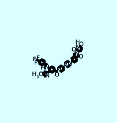 Cn1cnc(-c2cc(C(=O)N3CCC(N4CCN(c5ccc6c(c5)CN(C5CCC(=O)NC5=O)C6=O)CC4)CC3)ccc2NCc2ccc(C(F)(F)F)cc2)c1